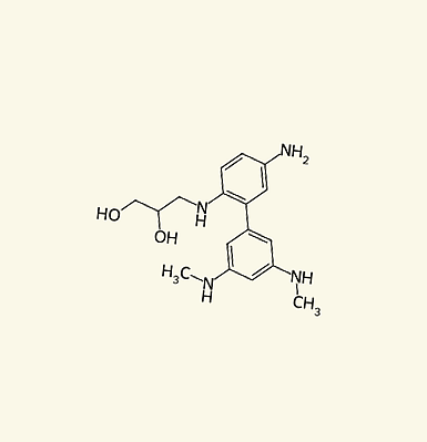 CNc1cc(NC)cc(-c2cc(N)ccc2NCC(O)CO)c1